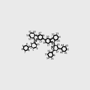 C1=CC(c2ccccc2)CC(N2c3cc(-c4ccc5c(c4)c4ccccc4n5C4=NC(c5ccccc5)CC(c5ccccc5)=C4)ccc3C3C=CC=CC32)=C1